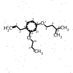 C=CCc1ccc(OCCC(C)C)cc1OCCC